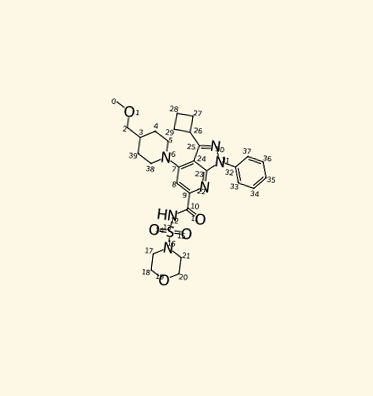 COCC1CCN(c2cc(C(=O)NS(=O)(=O)N3CCOCC3)nc3c2c(C2CCC2)nn3-c2ccccc2)CC1